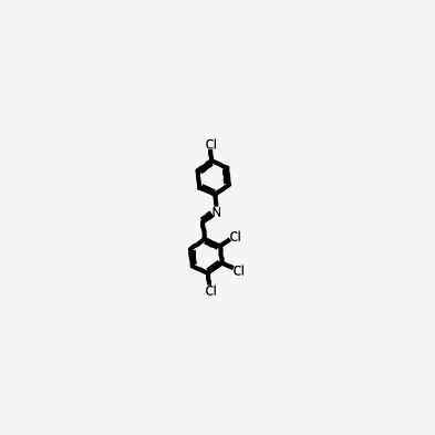 Clc1ccc(/N=C/c2ccc(Cl)c(Cl)c2Cl)cc1